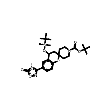 CC(C)(C)OC(=O)N1CCC2(CC1)CC(O[Si](C)(C)C(C)(C)C)c1cc(-c3noc(=O)[nH]3)ccc1O2